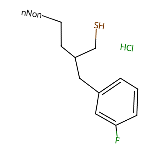 CCCCCCCCCCCC(CS)Cc1cccc(F)c1.Cl